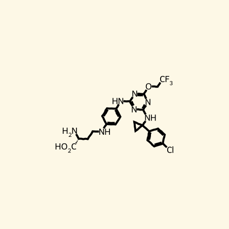 N[C@H](CCNc1ccc(Nc2nc(NC3(c4ccc(Cl)cc4)CC3)nc(OCC(F)(F)F)n2)cc1)C(=O)O